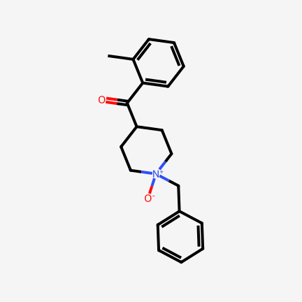 Cc1ccccc1C(=O)C1CC[N+]([O-])(Cc2ccccc2)CC1